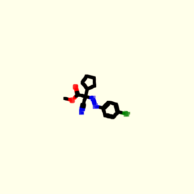 COC(=O)C(C#N)(N=Nc1ccc(Br)cc1)C1CCCC1